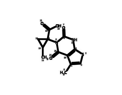 Cc1csc2[nH]c(=O)n(C3(C(=O)O)CC3C)c(=O)c12